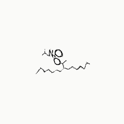 CCCCCCCC(CCCCCCC)C(C)OC(=O)N(C)CC(C)C